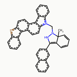 CC12C=CC=CC1=C(c1ccc3ccccc3c1)NN2Cn1c2ccccc2c2c3ccc4sc5ccccc5c4c3ccc21